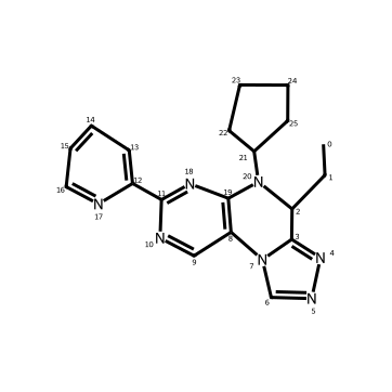 CCC1c2nncn2-c2cnc(-c3ccccn3)nc2N1C1CCCC1